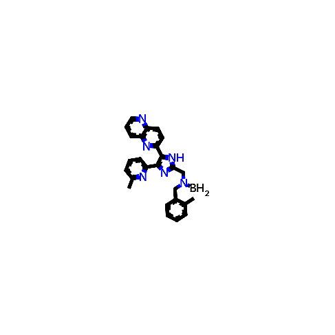 BN(Cc1nc(-c2cccc(C)n2)c(-c2ccc3ncccc3n2)[nH]1)Cc1ccccc1C